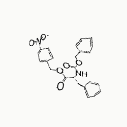 O=C(N[C@H](Cc1ccccc1)C(=O)OCc1ccc([N+](=O)[O-])cc1)OCc1ccccc1